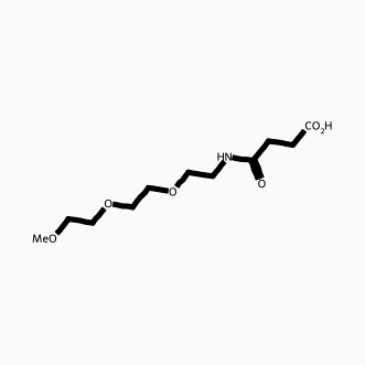 COCCOCCOCCNC(=O)CCC(=O)O